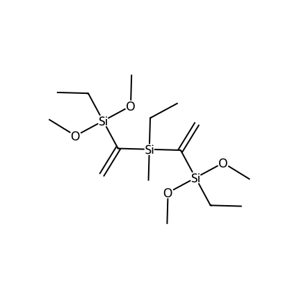 C=C([Si](CC)(OC)OC)[Si](C)(CC)C(=C)[Si](CC)(OC)OC